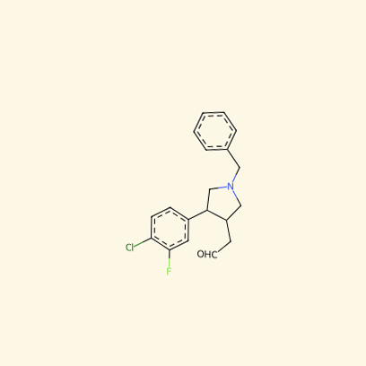 O=CCC1CN(Cc2ccccc2)CC1c1ccc(Cl)c(F)c1